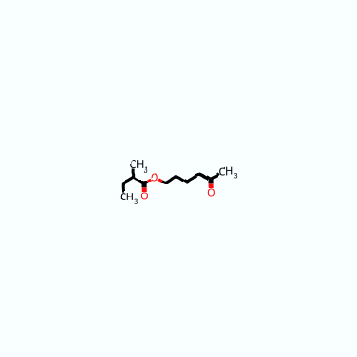 CCC(C)C(=O)OCCCCC(C)=O